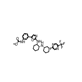 COC(=O)Nc1cccc(-c2cnc(N[C@@H]3CCCC[C@H]3N[C@H]3CCCN(c4cnc(C(F)(F)F)cn4)C3)o2)c1